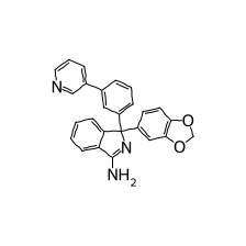 NC1=NC(c2cccc(-c3cccnc3)c2)(c2ccc3c(c2)OCO3)c2ccccc21